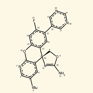 CC(C)(C)c1cnc2c(c1)[C@]1(COC(N)=N1)c1cc(-c3cncnc3)c(F)cc1O2